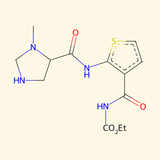 CCOC(=O)NC(=O)c1ccsc1NC(=O)C1CNCN1C